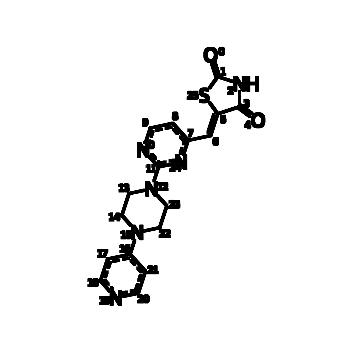 O=C1NC(=O)/C(=C/c2ccnc(N3CCN(c4ccncc4)CC3)n2)S1